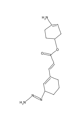 NN=NC1C=C(/C=C/C(=O)OC2CC=C(N)CC2)CCC1